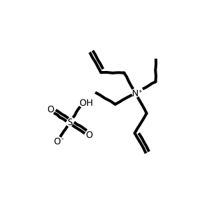 C=CC[N+](CC)(CC)CC=C.O=S(=O)([O-])O